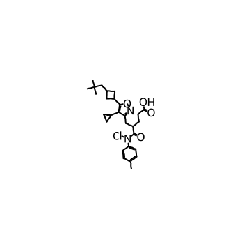 Cc1ccc(N(Cl)C(=O)C(CCC(=O)O)Cc2noc(C3CC(CC(C)(C)C)C3)c2C2CC2)cc1